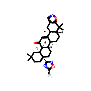 CC1(C)CC[C@]2(c3noc(C(F)(F)F)n3)CC[C@]3(C)[C@H](C(=O)C=C4[C@@]5(C)Cc6cnoc6C(C)(C)[C@@H]5CC[C@]43C)[C@@H]2C1